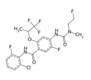 CC(Oc1cc(NC(=O)N(C)CCF)c(F)cc1C(=O)Nc1c(F)cccc1Cl)C(F)(F)F